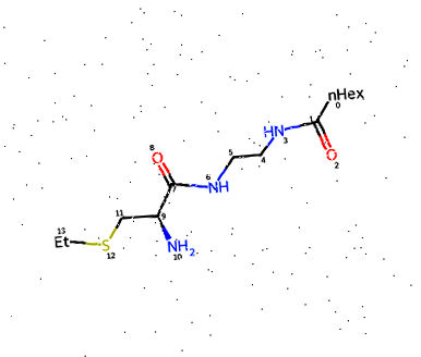 CCCCCCC(=O)NCCNC(=O)[C@@H](N)CSCC